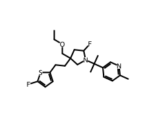 CCOCC1(CCc2ccc(F)s2)CC(F)N(C(C)(C)c2ccc(C)nc2)C1